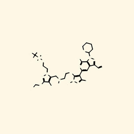 C=Cc1nn(C2CCCCO2)c2c(C)nc(-c3c(C)nn(C)c3O[C@@H](C)CN(C)Cc3c(I)c(OCC)nn3CCO[Si](C)(C)C(C)(C)C)cc12